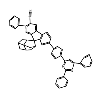 N#Cc1cc2c(cc1-c1ccccc1)C1(c3cc(-c4ccc(-c5nc(-c6ccccc6)nc(-c6ccccc6)n5)cc4)ccc3-2)C2CC3CC(C2)CC1C3